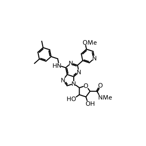 CNC(=O)C1OC(n2cnc3c(NCc4cc(C)cc(C)c4)nc(-c4cncc(OC)c4)nc32)C(O)C1O